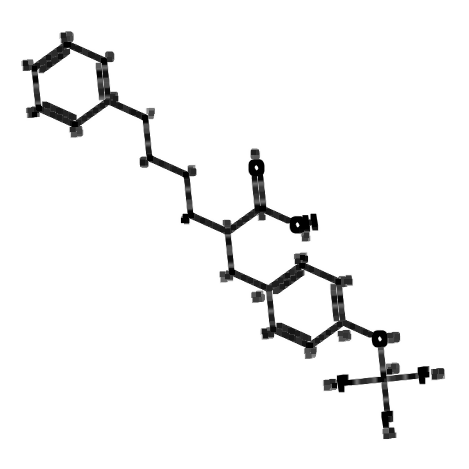 O=C(O)C(CCCCc1ccccc1)Cc1ccc(OC(F)(F)F)cc1